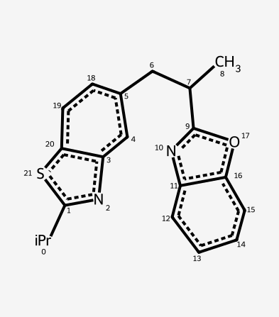 CC(C)c1nc2cc(CC(C)c3nc4ccccc4o3)ccc2s1